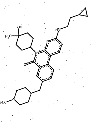 CN1CCN(Cc2ccc3c(c2)c(=O)n(C2CCC(C)(O)CC2)c2nc(NCCC4CC4)ncc32)CC1